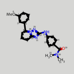 COc1cccc(-c2cccc3nc(Nc4ccc(C(=O)N(C)C)cc4)nn23)c1